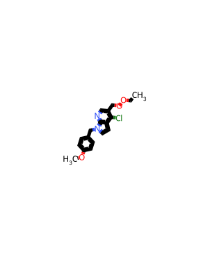 CCOOCc1cnc2c(ccn2Cc2ccc(OC)cc2)c1Cl